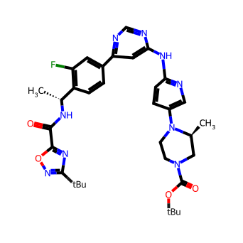 C[C@@H](NC(=O)c1nc(C(C)(C)C)no1)c1ccc(-c2cc(Nc3ccc(N4CCN(C(=O)OC(C)(C)C)C[C@@H]4C)cn3)ncn2)cc1F